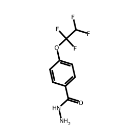 NNC(=O)c1ccc(OC(F)(F)C(F)F)cc1